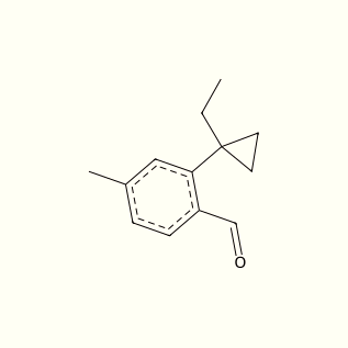 CCC1(c2cc(C)ccc2C=O)CC1